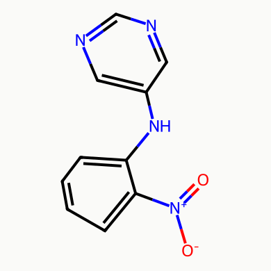 O=[N+]([O-])c1ccccc1Nc1cncnc1